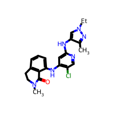 CCn1cc(Nc2cc(Nc3cccc4c3C(=O)N(C)CC4)c(Cl)cn2)c(C)n1